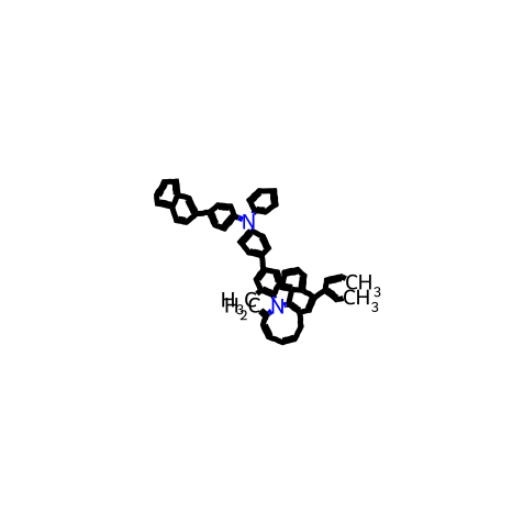 C=C1/C=C\C=C/Cc2cc(C(/C=C\C)=C/C)c3ccccc3c2N1c1ccc(-c2ccc(N(c3ccccc3)c3ccc(-c4ccc5ccccc5c4)cc3)cc2)cc1C